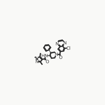 Cc1nn(C)c(C)c1C(=O)N[C@@H]1CCN(C(=O)c2cc(Cl)c3nccnc3c2)C[C@@H]1c1ccccc1